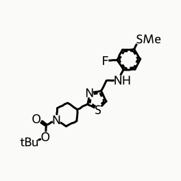 CSc1ccc(NCc2csc(C3CCN(C(=O)OC(C)(C)C)CC3)n2)c(F)c1